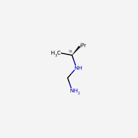 CC(C)[C@H](C)NCN